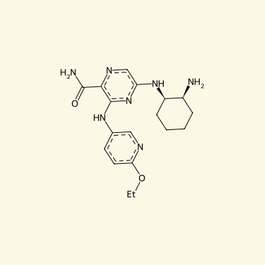 CCOc1ccc(Nc2nc(N[C@@H]3CCCC[C@@H]3N)cnc2C(N)=O)cn1